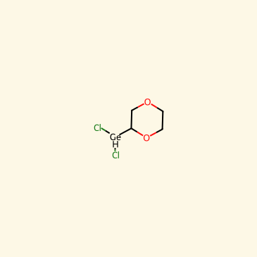 [Cl][GeH]([Cl])[CH]1COCCO1